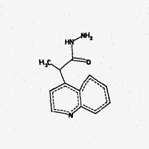 CC(C(=O)NN)c1ccnc2ccccc12